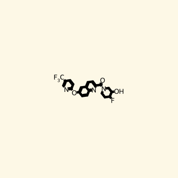 O=C(c1ccc2cc(Oc3ccc(C(F)(F)F)cn3)ccc2n1)N1CCC(F)C(O)C1